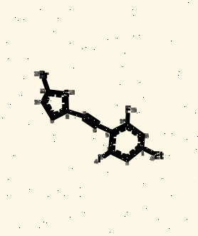 CCc1cc(F)c(C#Cc2ccc(Br)s2)c(F)c1